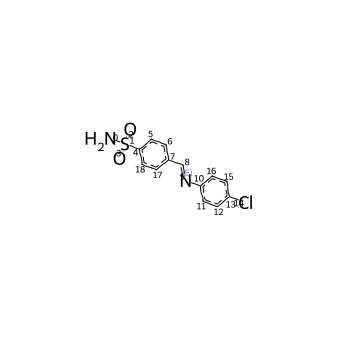 NS(=O)(=O)c1ccc(/C=N/c2ccc(Cl)cc2)cc1